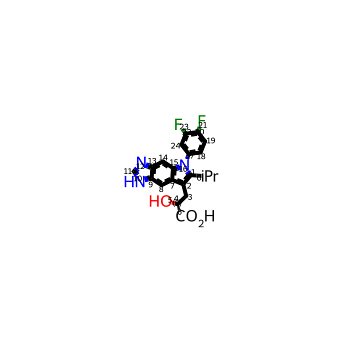 CC(C)c1c(C[C@H](O)C(=O)O)c2cc3[nH]cnc3cc2n1-c1ccc(F)c(F)c1